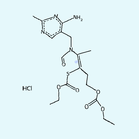 CCOC(=O)OCC/C(SC(=O)OCC)=C(\C)N(C=O)Cc1cnc(C)nc1N.Cl